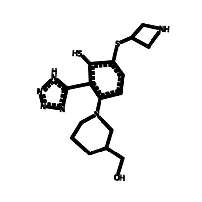 OCC1CCCN(c2ccc(SC3CNC3)c(S)c2-c2nnn[nH]2)C1